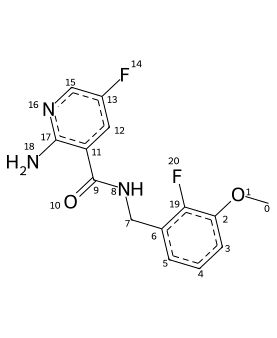 COc1cccc(CNC(=O)c2cc(F)cnc2N)c1F